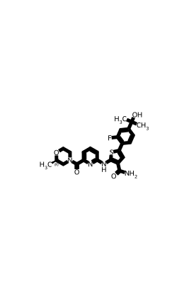 C[C@@H]1CN(C(=O)c2cccc(Nc3sc(-c4ccc(C(C)(C)O)cc4F)cc3C(N)=O)n2)CCO1